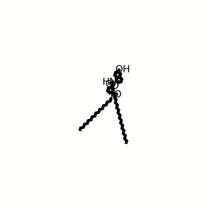 CCCCCCCCCCCCCCCCCCN(CCCCCCCCCCCCCCCCCC)C(=O)c1cccc(S(=O)(=O)Nc2cccc3cc(O)ccc23)c1